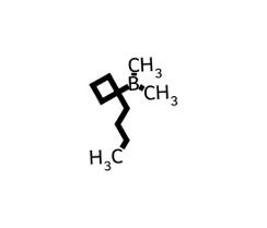 CCCCC1(B(C)C)CCC1